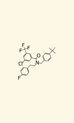 CC(C)(C)c1ccc(CN(CCc2ccc(F)cc2)C(=O)c2cc(Cl)cc(C(F)(F)F)c2)cc1